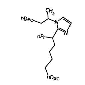 CCCCCCCCCCCCCCC(CCC)c1nccn1C(C)CCCCCCCCCCC